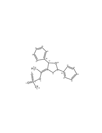 CC(OS(=O)(=O)C(F)(F)F)=C1CC(c2ccccc2)OC1c1ccccc1